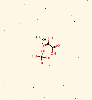 O=C(O)C(=O)O.[KH].[KH].[OH][Ti]([OH])([OH])[OH]